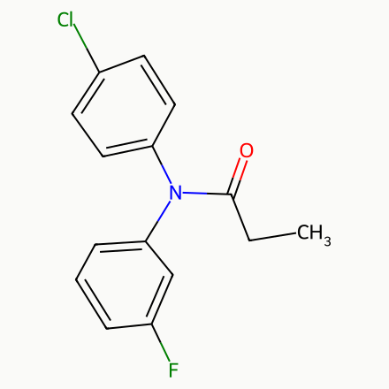 CCC(=O)N(c1ccc(Cl)cc1)c1cccc(F)c1